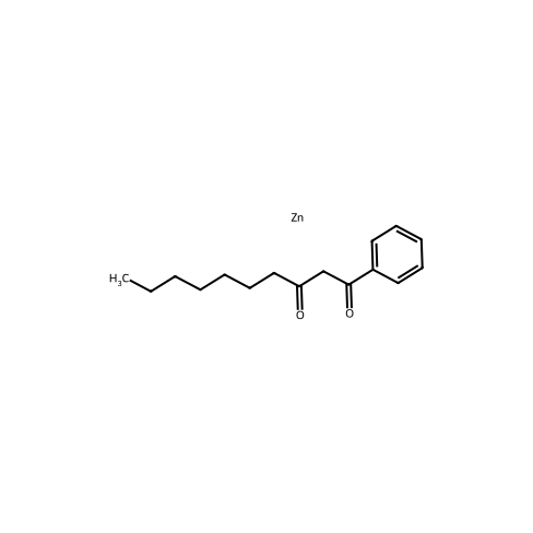 CCCCCCCC(=O)CC(=O)c1ccccc1.[Zn]